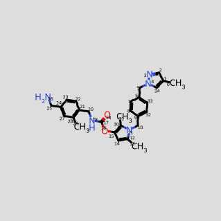 Cc1cnn(Cc2ccc(Cn3c(C)cc(OC(=O)NCc4ccc(CN)cc4C)c3C)cc2)c1